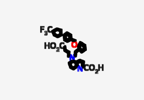 O=C(O)CCCCN(CCc1ccccc1OCc1ccc([C@H]2CC[C@H](C(F)(F)F)CC2)cc1)C1CCCc2nc(C(=O)O)ccc21